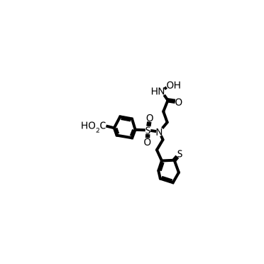 O=C(CCN(CCC1=CC=CCC1=S)S(=O)(=O)c1ccc(C(=O)O)cc1)NO